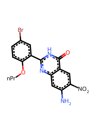 CCCOc1ccc(Br)cc1-c1nc2cc(N)c([N+](=O)[O-])cc2c(=O)[nH]1